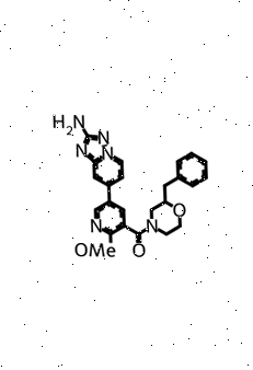 COc1ncc(-c2ccn3nc(N)nc3c2)cc1C(=O)N1CCOC(Cc2ccccc2)C1